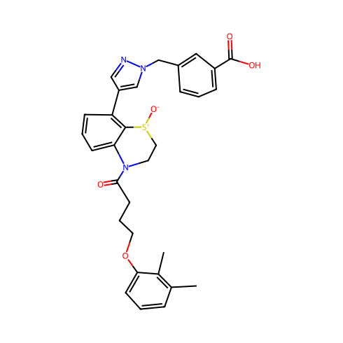 Cc1cccc(OCCCC(=O)N2CC[S+]([O-])c3c(-c4cnn(Cc5cccc(C(=O)O)c5)c4)cccc32)c1C